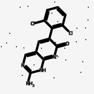 NC1=NC=C2C=C(c3c(Cl)cccc3Cl)C(=O)[N+]=C2N1